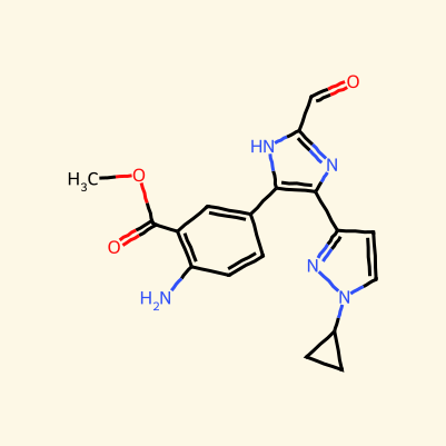 COC(=O)c1cc(-c2[nH]c(C=O)nc2-c2ccn(C3CC3)n2)ccc1N